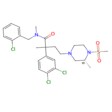 C[C@@H]1CN(CCC(C)(C(=O)N(C)Cc2ccccc2Cl)c2ccc(Cl)c(Cl)c2)CCN1S(C)(=O)=O